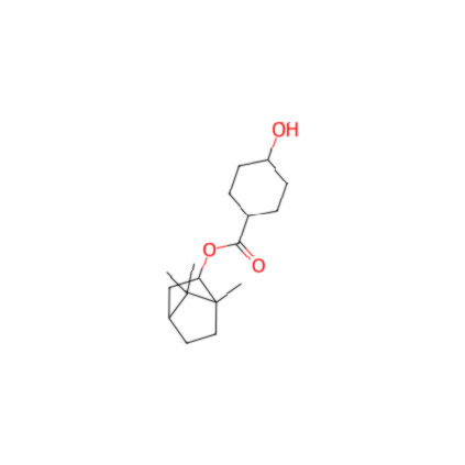 CC1(C)C2CCC1(C)C(OC(=O)C1CCC(O)CC1)C2